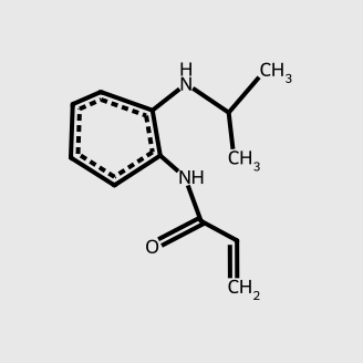 C=CC(=O)Nc1ccccc1NC(C)C